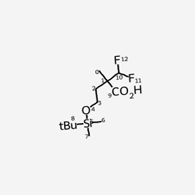 CC(CCO[Si](C)(C)C(C)(C)C)(C(=O)O)C(F)F